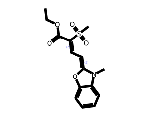 CCOC(=O)/C(=C/C=C1\Oc2ccccc2N1C)S(C)(=O)=O